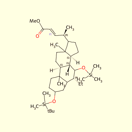 CC[C@H]1C(O[Si](C)(C)C)[C@@H]2[C@H](CCC3(C)C([C@H](C)/C=C/C(=O)OC)CC[C@@H]23)C2(C)CCC(O[Si](C)(C)C(C)(C)C)CC12